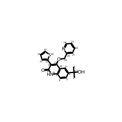 CC(C)(O)c1ccc2[nH]c(=O)c(-c3cccs3)c(OCc3ccccn3)c2c1